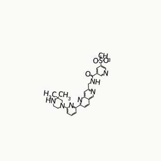 CC1(C)CN(c2cccc(-c3ccc4cnc(CNC(=O)c5cncc(S(C)(=O)=O)c5)cc4n3)n2)CCN1